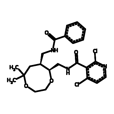 CC1(C)C[C@@H](CNC(=O)c2ccccc2)[C@@H](CNC(=O)c2c(Cl)ccnc2Cl)OCCO1